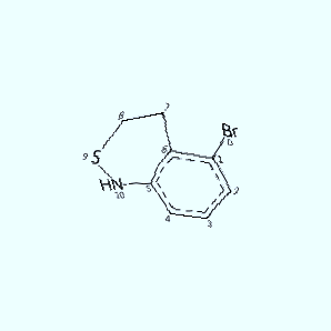 Brc1cccc2c1CCSN2